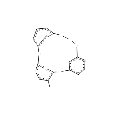 Clc1cnc2nc1Nc1cccc(c1)NCCc1cccc(c1)N2